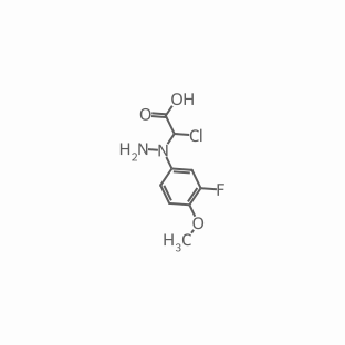 COc1ccc(N(N)C(Cl)C(=O)O)cc1F